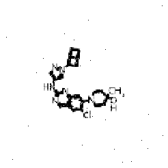 CC1(O)CCN(c2cc3nc(Nc4cnn(C5CC6CCC65)c4)ncc3cc2Cl)CC1